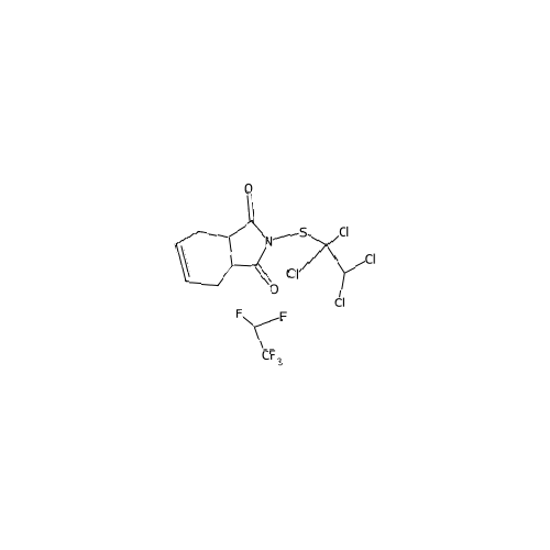 FC(F)C(F)(F)F.O=C1C2CC=CCC2C(=O)N1SC(Cl)(Cl)C(Cl)Cl